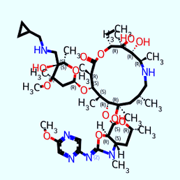 CC[C@H]1OC(=O)[C@H](C)[C@@H](O[C@H]2C[C@@](C)(OC)[C@](O)(CNCC3CC3)[C@H](C)O2)[C@H](C)[C@@H](O[C@@H]2O[C@H](C)C[C@H]3[C@H]2O/C(=N\c2cnc(OC)cn2)N3C)[C@](C)(O)C[C@@H](C)CN[C@H](C)[C@@H](O)[C@]1(C)O